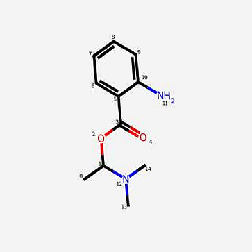 CC(OC(=O)c1ccccc1N)N(C)C